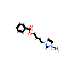 CN1C=CN(CCCCOC(=O)c2ccccc2)C1